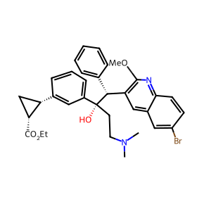 CCOC(=O)[C@@H]1C[C@@H]1c1cccc([C@](O)(CCN(C)C)[C@H](c2ccccc2)c2cc3cc(Br)ccc3nc2OC)c1